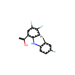 C=C(O)c1cc(F)c(F)cc1Nc1ccc(F)cc1C(C)C